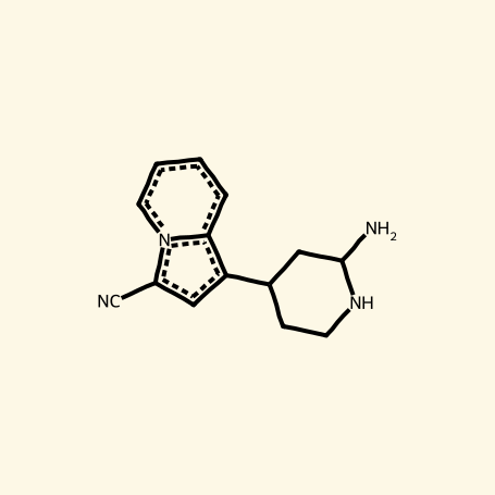 N#Cc1cc(C2CCNC(N)C2)c2ccccn12